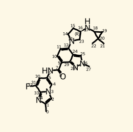 Cc1cn2cc(NC(=O)c3ccc(N4CC[C@@H](NC5CC5(C)C)C4)c4cn(C)nc34)cc(F)c2n1